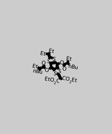 CCCCC(CC)C(=O)Oc1c2c(c(OC(=O)C(CC)CCCC)c3c1SC(=C(C(=O)OCC)C(=O)OCC)S3)SC(=C(CC)CC)S2